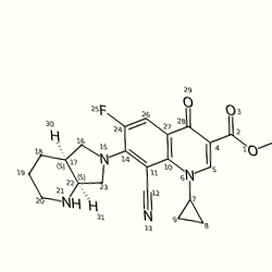 COC(=O)c1cn(C2CC2)c2c(C#N)c(N3C[C@@H]4CCCN[C@@H]4C3)c(F)cc2c1=O